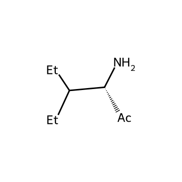 CCC(CC)[C@H](N)C(C)=O